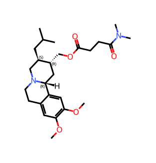 COc1cc2c(cc1OC)[C@H]1C[C@@H](COC(=O)CCC(=O)N(C)C)[C@H](CC(C)C)CN1CC2